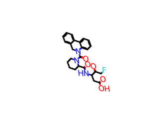 O=C(O)CC(NC(=O)C1CCCCN1C(=O)N1Cc2ccccc2-c2ccccc21)C(=O)CF